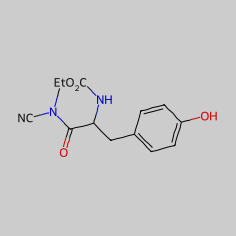 CCOC(=O)NC(Cc1ccc(O)cc1)C(=O)N(C)C#N